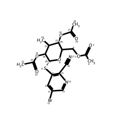 CC(=O)OCC1O[C@H](Sc2cc(Br)cnc2C#N)C(OC(C)=O)C(C)[C@H]1OC(C)=O